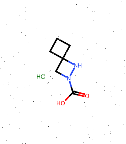 Cl.O=C(O)N1CC2(CCC2)N1